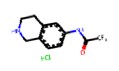 Cl.O=C(Nc1ccc2c(c1)CCNC2)C(F)(F)F